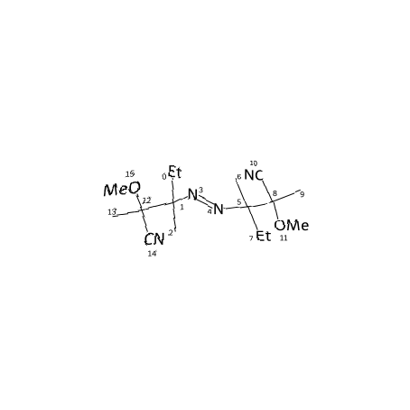 CCC(C)(/N=N/C(C)(CC)C(C)(C#N)OC)C(C)(C#N)OC